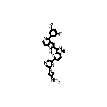 COc1cc(F)cc(-c2nccc3[nH]c(-c4n[nH]c5ccc(-c6cncc(N7CC(N)C7)n6)nc45)cc23)c1